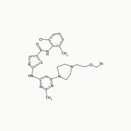 [3H]COCCN1CCN(c2cc(Nc3ncc(C(=O)Nc4c(C)cccc4Cl)s3)nc(C)n2)CC1